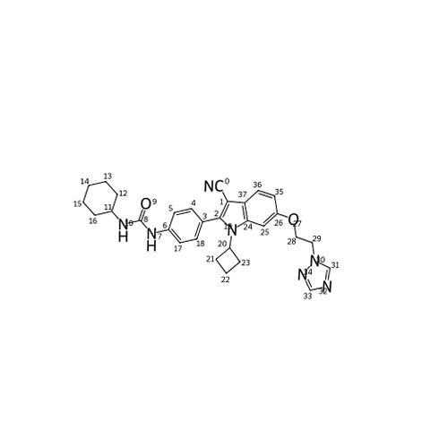 N#Cc1c(-c2ccc(NC(=O)NC3CCCCC3)cc2)n(C2CCC2)c2cc(OCCn3cncn3)ccc12